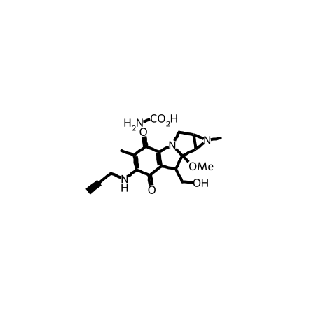 C#CCNC1=C(C)C(=O)C2=C(C1=O)C(CO)C1(OC)C3C(CN21)N3C.NC(=O)O